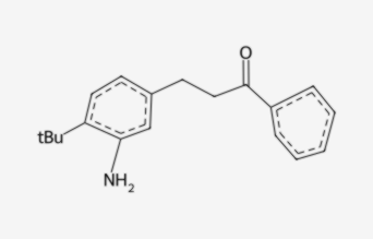 CC(C)(C)c1ccc(CCC(=O)c2ccccc2)cc1N